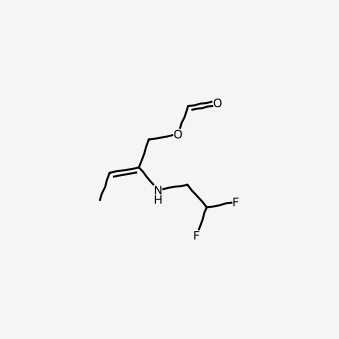 CC=C(COC=O)NCC(F)F